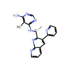 C[C@@H](Nc1ncnc(N)c1C#N)c1nc2ncccc2cc1-c1ccccn1